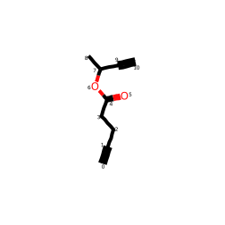 C#CCCC(=O)OC(C)C#C